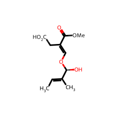 C/C=C(\C)[C@H](O)O/C=C(\CC(=O)O)C(=O)OC